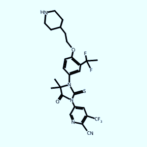 CC(F)(F)c1cc(N2C(=S)N(c3cnc(C#N)c(C(F)(F)F)c3)C(=O)C2(C)C)ccc1OCCC1CCNCC1